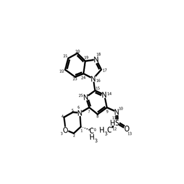 C[C@@H]1COCCN1c1cc(/N=[SH](\C)=O)nc(-n2cnc3ccccc32)n1